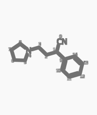 N#CC(CCN1CCCC1)c1ccccc1